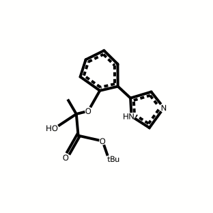 CC(C)(C)OC(=O)C(C)(O)Oc1ccccc1-c1cnc[nH]1